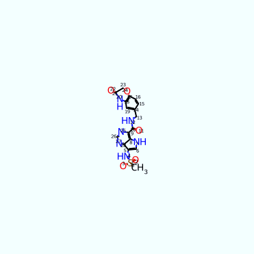 CS(=O)(=O)Nc1c[nH]c2c(C(=O)NCc3ccc4c(c3)NC(=O)CO4)ncnc12